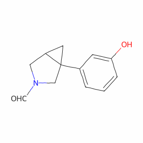 O=CN1CC2CC2(c2cccc(O)c2)C1